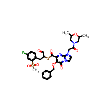 CC1CN(C(=O)Cn2ccn3c(=O)c(OCc4ccccc4)c(C(=O)SC(C=O)Cc4ccc(F)cc4S(C)(=O)=O)nc23)CC(C)O1